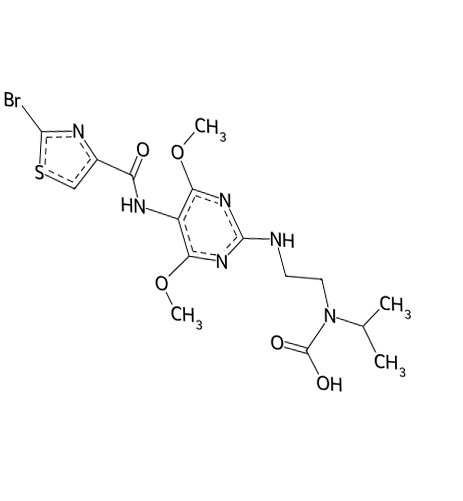 COc1nc(NCCN(C(=O)O)C(C)C)nc(OC)c1NC(=O)c1csc(Br)n1